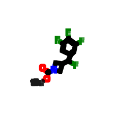 CC(C)(C)OC(=O)N1CC(C(F)c2cc(F)c(F)c(F)c2)C1